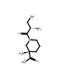 N[C@@H](CS)C(=O)N1CCC[C@](N)(C(=O)O)C1